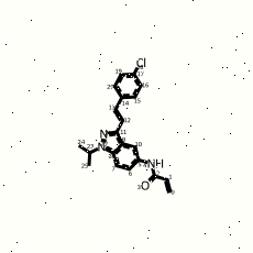 C=CC(=O)Nc1ccc2c(c1)c(/C=C/c1ccc(Cl)cc1)nn2C(C)C